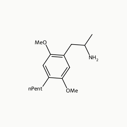 CCCCCc1cc(OC)c(CC(C)N)cc1OC